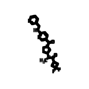 CN(C(=O)C1CC(F)(F)C1)[C@H]1CCN(C(=O)c2ccc(NCc3cccnc3)nc2)C1